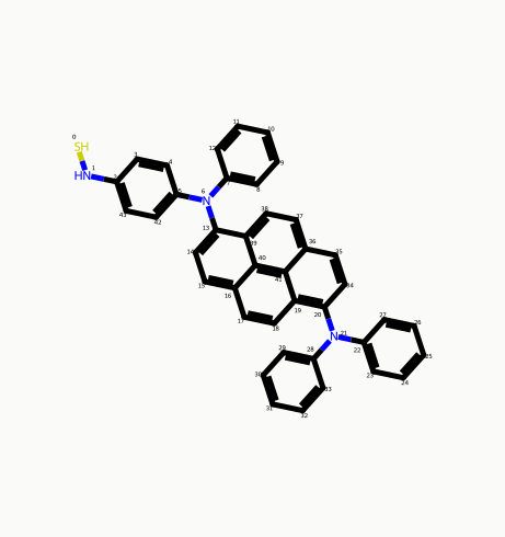 SNc1ccc(N(c2ccccc2)c2ccc3ccc4c(N(c5ccccc5)c5ccccc5)ccc5ccc2c3c54)cc1